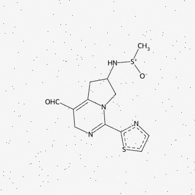 C[S+]([O-])NC1CC2=C(C=O)CN=C(c3nccs3)N2C1